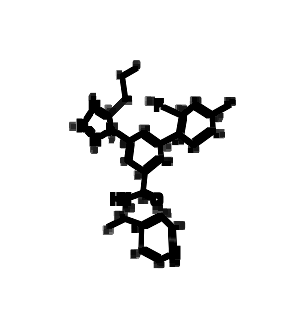 CCCc1nnnn1-c1cc(C(=O)NC(C)c2ccncc2)cc(-c2ccc(C)cc2F)c1